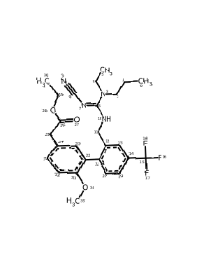 CCCN(CC)C(=NC#N)NCc1cc(C(F)(F)F)ccc1-c1cc(CC(=O)OCC)ccc1OC